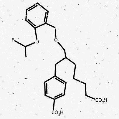 O=C(O)CCCCC(COCc1ccccc1OC(F)F)Cc1ccc(C(=O)O)cc1